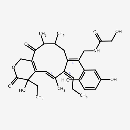 CC/C=C1C(\C)=C\C2=C(COC(=O)C2(O)CC)C(=O)C(C)C(C)CC\1=C(/CNC(=O)CO)c1cc(O)ccc1C